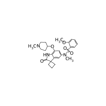 COc1ccccc1S(=O)(=O)N(C)c1cc(OC2CCN(C)CC2)c2c(c1)C1(CCC1)C(=O)N2